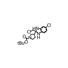 CC(C)(C)OC(=O)N1CCC(C2(CCl)Nc3ccc(Cl)cc3N2)C1